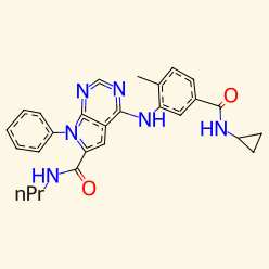 CCCNC(=O)c1cc2c(Nc3cc(C(=O)NC4CC4)ccc3C)ncnc2n1-c1ccccc1